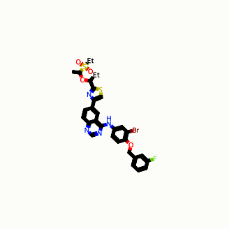 CCC(OC(C)S(=O)(=O)CC)c1nc(-c2ccc3ncnc(Nc4ccc(OCc5cccc(F)c5)c(Br)c4)c3c2)cs1